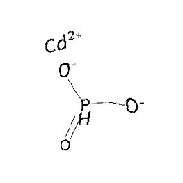 O=[PH]([O-])[O-].[Cd+2]